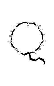 C\C=C/C=C\C1=C\OCCOSCCCCCCOCCOCCO1